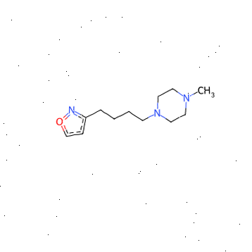 CN1CCN(CCCCc2ccon2)CC1